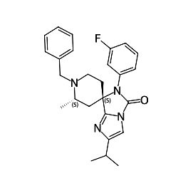 CC(C)c1cn2c(n1)[C@@]1(CCN(Cc3ccccc3)[C@@H](C)C1)N(c1cccc(F)c1)C2=O